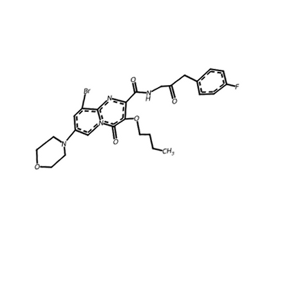 CCCCOc1c(C(=O)NCC(=O)Cc2ccc(F)cc2)nc2c(Br)cc(N3CCOCC3)cn2c1=O